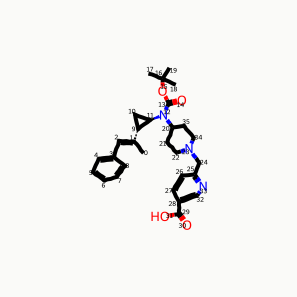 C/C(=C\c1ccccc1)[C@@H]1C[C@H]1N(C(=O)OC(C)(C)C)C1CCN(Cc2ccc(C(=O)O)cn2)CC1